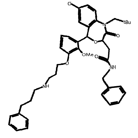 COc1c(OCCCNCCCc2ccccc2)cccc1C1OC(CC(=O)NCc2ccccc2)C(=O)N(CC(C)(C)C)c2ccc(Cl)cc21